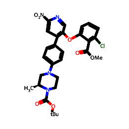 COC(=O)c1c(Cl)cccc1Oc1cnc([N+](=O)[O-])cc1-c1ccc(N2CCN(C(=O)OC(C)(C)C)[C@@H](C)C2)cc1